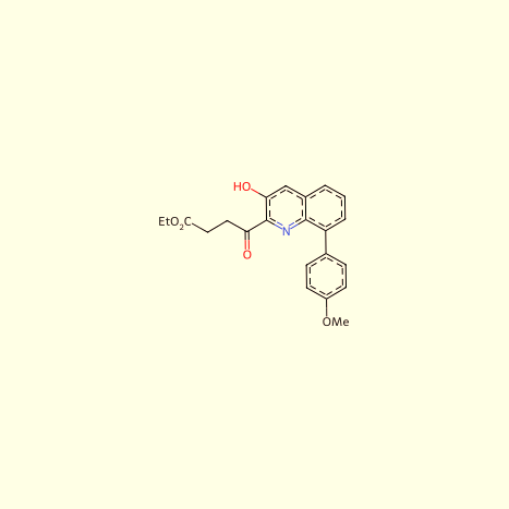 CCOC(=O)CCC(=O)c1nc2c(-c3ccc(OC)cc3)cccc2cc1O